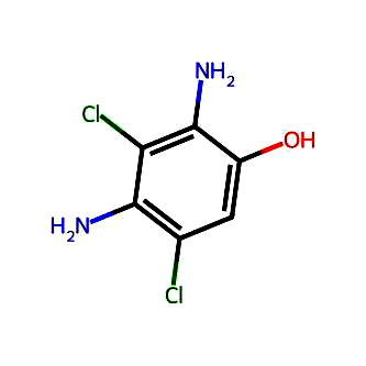 Nc1c(O)cc(Cl)c(N)c1Cl